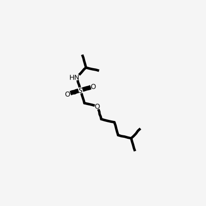 CC(C)CCCOCS(=O)(=O)NC(C)C